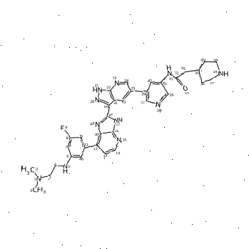 CN(C)CCNc1cc(F)cc(-c2ccnc3[nH]c(-c4n[nH]c5ncc(-c6cncc(NC(=O)CC7CCNCC7)c6)cc45)nc23)c1